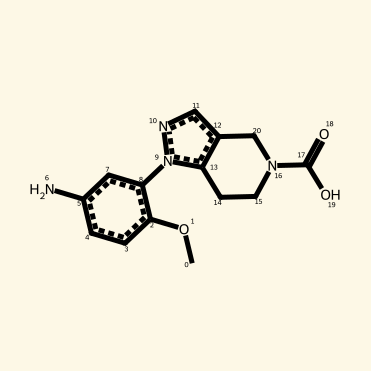 COc1ccc(N)cc1-n1ncc2c1CCN(C(=O)O)C2